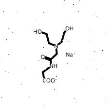 O=C([O-])CNC(=O)CN(CCO)CCO.[Na+]